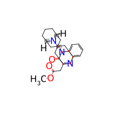 COC(=O)Cc1nc2ccccc2n([C@H]2C[C@H]3CCC[C@@H](C2)N3C2CC3CCCC(C3)C2)c1=O